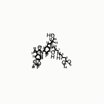 COC(CCCNC[C@H](O)Cn1c(C(C)(C)CO)cc2cc(NC(=O)C3(c4ccc5c(c4)OC(F)(F)O5)CC3)c(F)cc21)OC